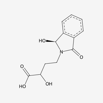 O=C(O)C(O)CCN1C(=O)c2ccccc2[C@@H]1O